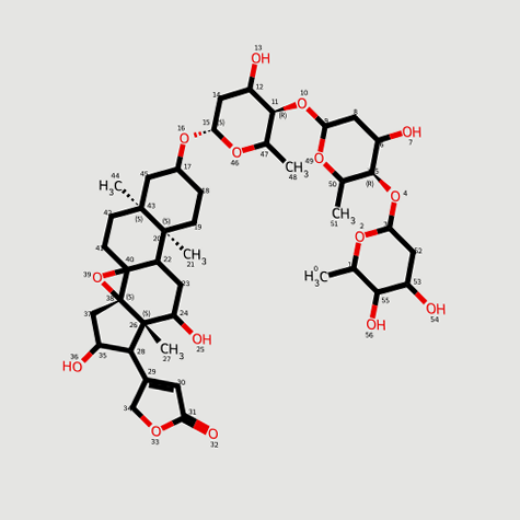 CC1OC(O[C@@H]2C(O)CC(O[C@@H]3C(O)C[C@@H](OC4CC[C@@]5(C)C6CC(O)[C@]7(C)C(C8=CC(=O)OC8)C(O)C[C@]78OC68CC[C@@]5(C)C4)OC3C)OC2C)CC(O)C1O